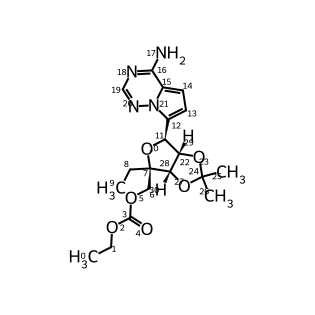 CCOC(=O)OC[C@@]1(CC)O[C@@H](c2ccc3c(N)ncnn23)[C@@H]2OC(C)(C)O[C@@H]21